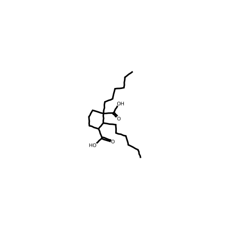 CCCCCCC1C(C(=O)O)CCCC1(CCCCCC)C(=O)O